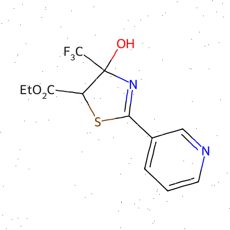 CCOC(=O)C1SC(c2cccnc2)=NC1(O)C(F)(F)F